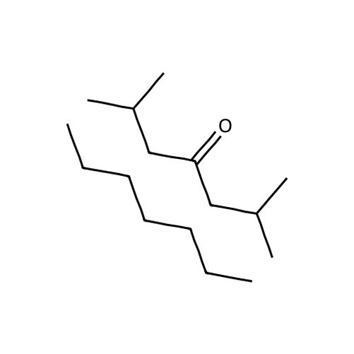 CC(C)CC(=O)CC(C)C.CCCCCCC